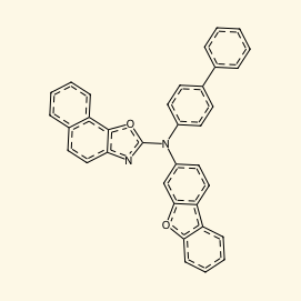 c1ccc(-c2ccc(N(c3ccc4c(c3)oc3ccccc34)c3nc4ccc5ccccc5c4o3)cc2)cc1